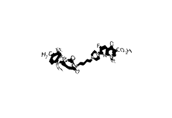 CCc1cc(Nc2cc(=O)n(CCCCN3CCN(c4nc5c(cc4F)c(=O)c(C(=O)O)cn5CC)CC3)c(=O)[nH]2)ccc1C